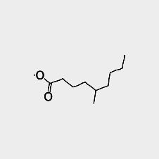 CCCCC(C)CCCC([O])=O